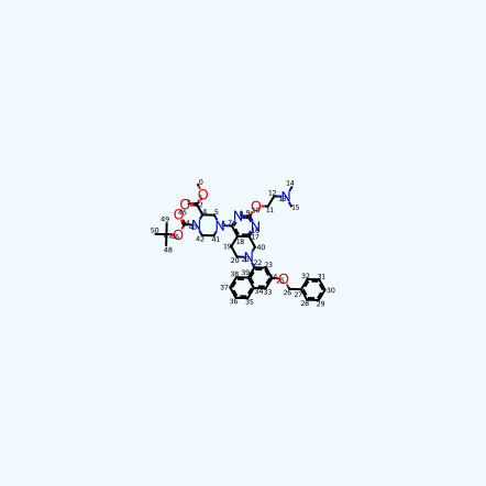 COC(=O)C1CN(c2nc(OCCN(C)C)nc3c2CCN(c2cc(OCc4ccccc4)cc4ccccc24)C3)CCN1C(=O)OC(C)(C)C